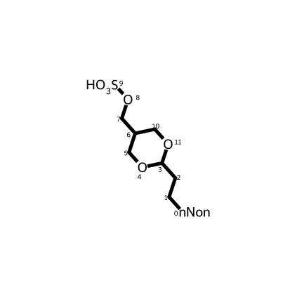 CCCCCCCCCCCC1OCC(COS(=O)(=O)O)CO1